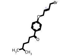 CC(C)CCCC(=O)c1ccc(OC/C=C/CBr)cc1